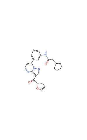 O=C(CC1CCCC1)Nc1cccc(-c2ccnc3c(C(=O)c4ccco4)cnn23)c1